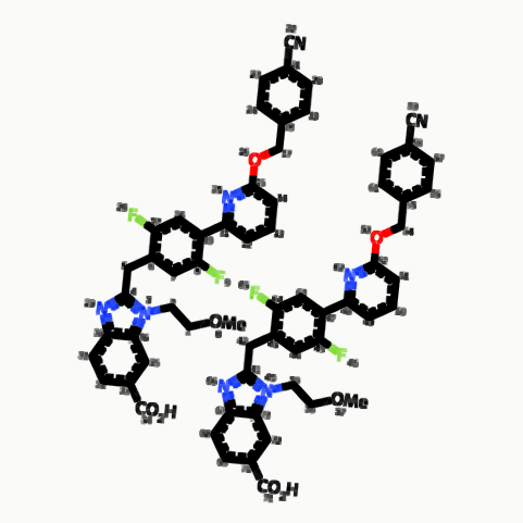 COCCn1c(Cc2cc(F)c(-c3cccc(OCc4ccc(C#N)cc4)n3)cc2F)nc2ccc(C(=O)O)cc21.COCCn1c(Cc2cc(F)c(-c3cccc(OCc4ccc(C#N)cc4)n3)cc2F)nc2ccc(C(=O)O)cc21